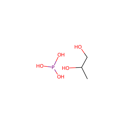 CC(O)CO.OP(O)O